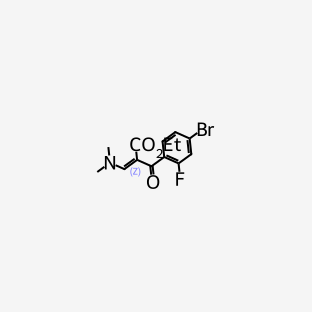 CCOC(=O)/C(=C\N(C)C)C(=O)c1ccc(Br)cc1F